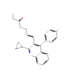 O=C(O)CC(=O)C[C@H](O)/C=C/c1c(C2CC2)nc2ccccc2c1-c1ccc(F)cc1